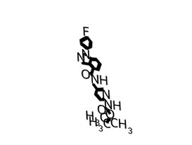 CC(C)(C)OC(=O)Nc1ccc(CNC(=O)c2cccc3c2cnn3-c2ccc(F)cc2)cn1